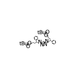 CN(CC(CCCOC(=O)C(C)(C)C)c1ccccc1)c1cc(N(C)CC(CCCOC(=O)C(C)(C)C)c2ccccc2)ncn1